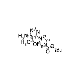 CC(O)c1c(N)ncnc1N1CCN(C(=O)OC(C)(C)C)CC1